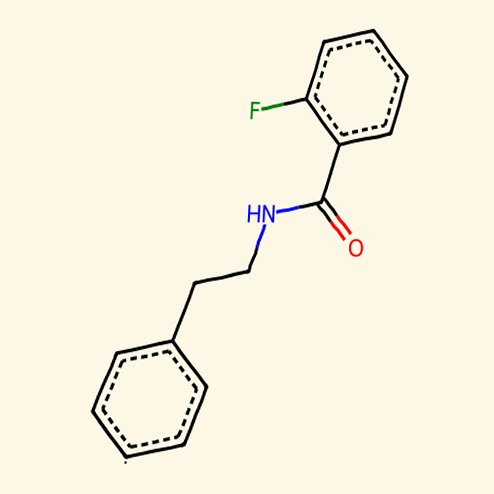 O=C(NCCc1cc[c]cc1)c1ccccc1F